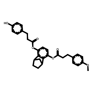 COc1ccc(CCC(=O)Oc2ccc(OC(=O)CCc3ccc(O)cc3)c3c2C2CCC3C2)cc1